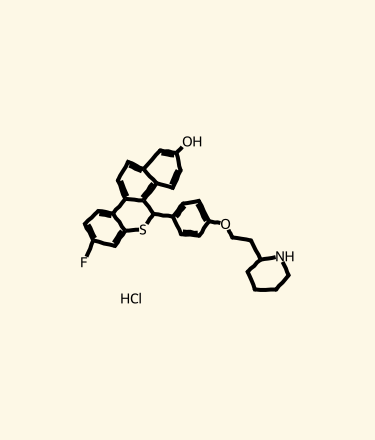 Cl.Oc1ccc2c3c(ccc2c1)-c1ccc(F)cc1SC3c1ccc(OCCC2CCCCN2)cc1